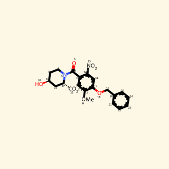 COc1cc(C(=O)N2CC[C@H](O)C[C@H]2C(=O)O)c([N+](=O)[O-])cc1OCc1ccccc1